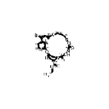 CCOC(=O)[C@@H]1C[C@H]2CN1C(=O)CNC(=O)OCCCCCc1cc(Br)c3ccnc(c3c1)O2